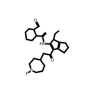 C=C(NC1=C(C(=O)CC2CCCP(F)CC2)C2=C(CCC2)C1CC)C1CCCCC1C=O